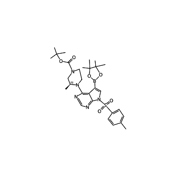 Cc1ccc(S(=O)(=O)n2cc(B3OC(C)(C)C(C)(C)O3)c3c(N4CCN(C(=O)OC(C)(C)C)C[C@@H]4C)ncnc32)cc1